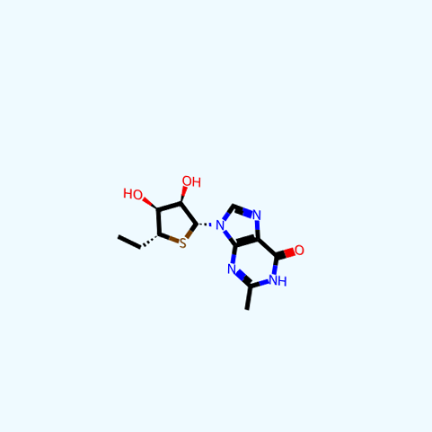 CC[C@H]1S[C@@H](n2cnc3c(=O)[nH]c(C)nc32)[C@H](O)[C@@H]1O